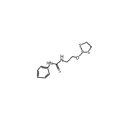 S=C(NCCOP1SCCS1)Nc1ccccc1